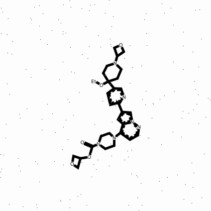 CCOC1(c2ccc(-c3cc4c(N5CCN(C(=O)OC6COC6)CC5)ccnn4c3)nc2)CCN(C2COC2)CC1